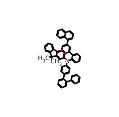 CC1(C)c2ccccc2-c2ccc(N(c3ccc(-c4ccccc4-c4ccccc4)cc3)c3ccccc3-c3cccc(-c4cccc5ccccc45)c3)cc21